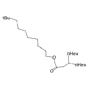 CCCCCCC(CCCCCC)CC(=O)OCCCCCCCCC(C)(C)C